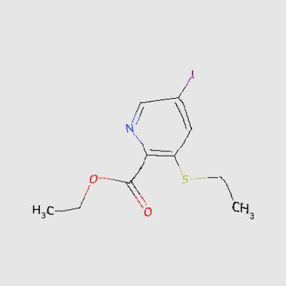 CCOC(=O)c1ncc(I)cc1SCC